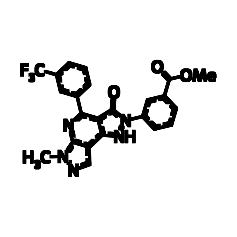 COC(=O)c1cccc(-n2[nH]c3c(c(-c4cccc(C(F)(F)F)c4)nc4c3cnn4C)c2=O)c1